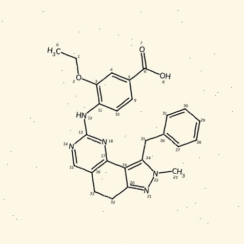 CCOc1cc(C(=O)O)ccc1Nc1ncc2c(n1)-c1c(nn(C)c1Cc1ccccc1)CC2